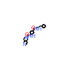 O=C(NCCCc1ccccc1)c1ccc(NC(=O)N2CCc3cnccc3C2)cc1